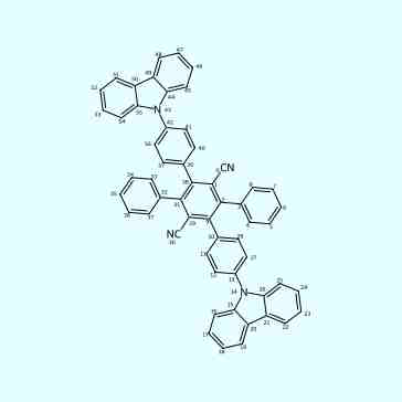 N#Cc1c(-c2ccccc2)c(-c2ccc(-n3c4ccccc4c4ccccc43)cc2)c(C#N)c(-c2ccccc2)c1-c1ccc(-n2c3ccccc3c3ccccc32)cc1